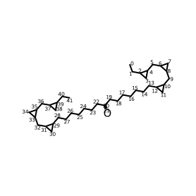 CCC1CC1CC1CC1CC1CC1CCCCCCCC(=O)CCCCCCCC1CC1CC1CC1CC1CC1CC